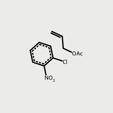 C=CCOC(C)=O.O=[N+]([O-])c1ccccc1Cl